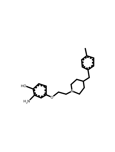 Cc1ccc(CC2CCN(CCOc3ccc(O)c(N)c3)CC2)cc1